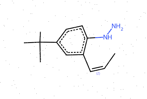 C/C=C\c1cc(C(C)(C)C)ccc1NN